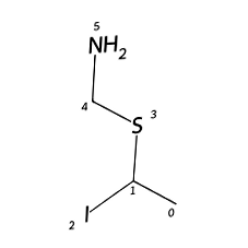 CC(I)SCN